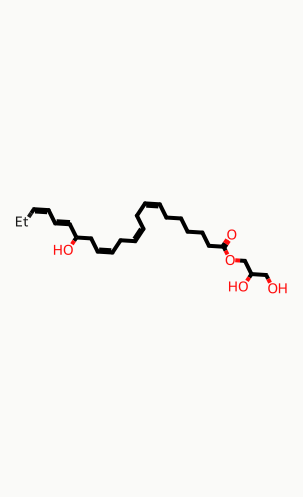 CC/C=C\C=C\C(O)C/C=C\C/C=C\C/C=C\CCCCCC(=O)OCC(O)CO